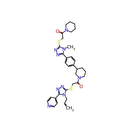 C=CCn1c(SCC(=O)N2CCCC(c3ccc(-c4nnc(SCC(=O)N5CCCCC5)n4C)cc3)C2)nnc1-c1ccncc1